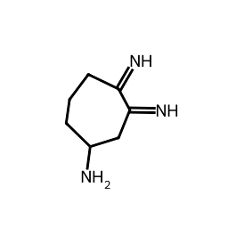 N=C1CCCC(N)CC1=N